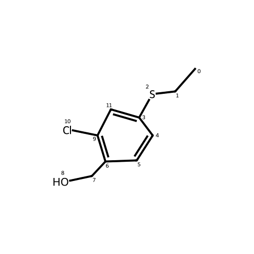 CCSc1ccc(CO)c(Cl)c1